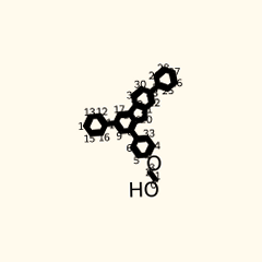 OCCOc1ccc(-c2cc(-c3ccccc3)cc3c2Cc2cc(-c4ccccc4)ccc2-3)cc1